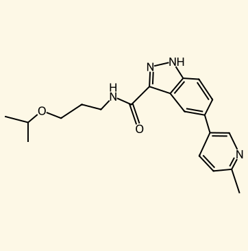 Cc1ccc(-c2ccc3[nH]nc(C(=O)NCCCOC(C)C)c3c2)cn1